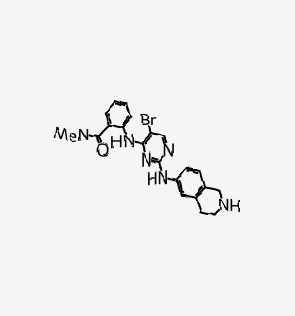 CNC(=O)c1ccccc1Nc1nc(Nc2ccc3c(c2)CCNC3)ncc1Br